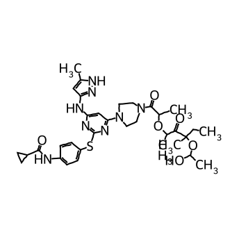 CCC(C)(OC(C)O)C(=O)C(C)OC(C)C(=O)N1CCN(c2cc(Nc3cc(C)[nH]n3)nc(Sc3ccc(NC(=O)C4CC4)cc3)n2)CC1